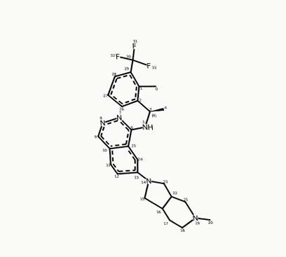 Cc1c([C@@H](C)Nc2nncc3ccc(N4CC5CCN(C)CC5C4)cc23)cccc1C(F)(F)F